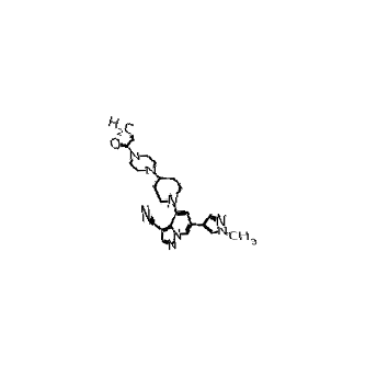 C=CC(=O)N1CCN(C2CCN(c3cc(-c4cnn(C)c4)cn4ncc(C#N)c34)CC2)CC1